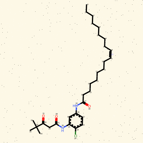 CCCCCCCC/C=C\CCCCCCCC(=O)Nc1ccc(Cl)c(NC(=O)CC(=O)C(C)(C)C)c1